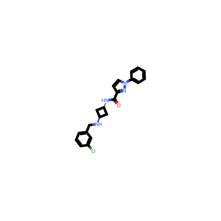 O=C(N[C@H]1C[C@H](NCc2cccc(Cl)c2)C1)c1ccn(-c2ccccc2)n1